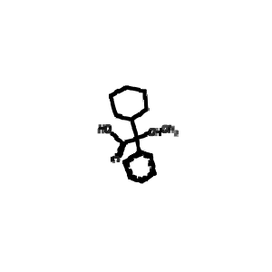 O.O=C(O)C(O)(c1ccccc1)C1CCCCC1